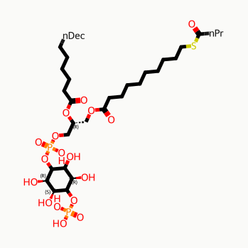 CCCCCCCCCCCCCCCC(=O)O[C@H](COC(=O)CCCCCCCCCSC(=O)CCC)COP(=O)(O)OC1C(O)[C@@H](O)C(OP(=O)(O)O)[C@@H](O)[C@H]1O